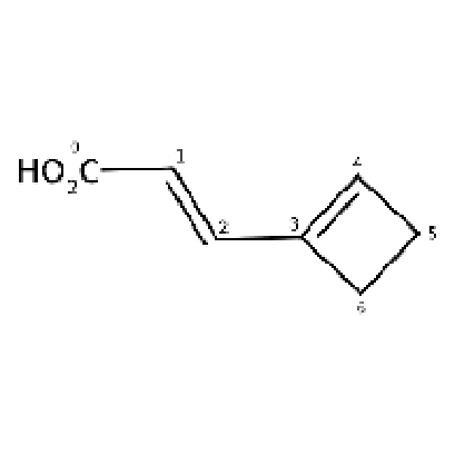 O=C(O)C=CC1=CCC1